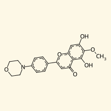 COc1c(O)cc2oc(-c3ccc(N4CCOCC4)cc3)cc(=O)c2c1O